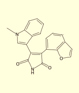 Cn1cc(C2=C(c3cc[c]c4ccoc34)C(=O)NC2=O)c2ccccc21